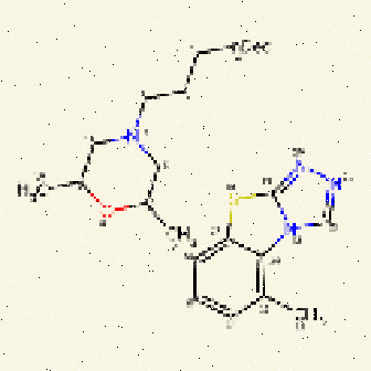 CCCCCCCCCCCCCN1CC(C)OC(C)C1.Cc1cccc2sc3nncn3c12